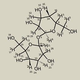 [2H]C([2H])(O)C1([2H])O[C@@]([2H])(O[C@@]2([2H])OC([2H])(C([2H])([2H])O)[C@@]([2H])(O)[C@]([2H])(O)C2([2H])O)C([2H])(O)C([2H])(O)[C@]1([2H])C